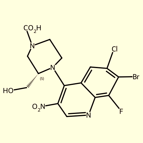 O=C(O)N1CCN(c2c([N+](=O)[O-])cnc3c(F)c(Br)c(Cl)cc23)[C@H](CO)C1